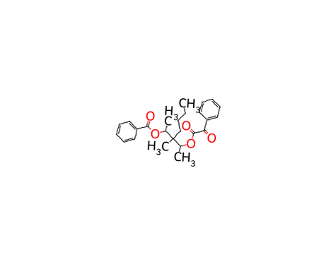 CCCCC(C)(C(C)OC(=O)C(=O)c1ccccc1)C(C)OC(=O)c1ccccc1